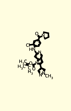 Cn1cc(-c2cc3cnc(Nc4ccc(C(=O)N5CCCC5)cc4Cl)cc3n2C(=O)OC(C)(C)C)cn1